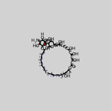 C[C@@H]1[C@H](O)[C@@H](C)/C=C/C=C/CC/C=C/C=C/C=C/C=C/C(O[C@@H]2O[C@H](C)[C@@H](O)[C@H](N)[C@H]2O)C[C@@H]2OC(O)(CC(O)CCCC(O)C[C@@H](O)CC(O)CC(=O)O[C@H]1C)C[C@H](O)[C@H]2C(=O)O